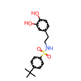 CC(C)(C)c1ccc(S(=O)(=O)NCCc2ccc(O)c(O)c2)cc1